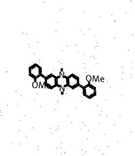 COc1ccccc1-c1ccc2c(c1)N(C)c1ccc(-c3ccccc3OC)cc1N2C